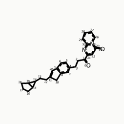 O=C(CCc1ccc2c(c1)CC(CCC1C3CCCC31)=C2)c1cc(=O)n2ccccc2n1